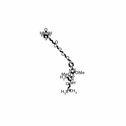 COc1nc(N2CCN(CCOCCOCCOCCOC(=O)CCCC[C@@H]3SC[C@@H]4NC(=O)N[C@@H]43)CC2)nc(OC)c1Sc1nc(N)cc(NC(=O)CCN(C)C)n1